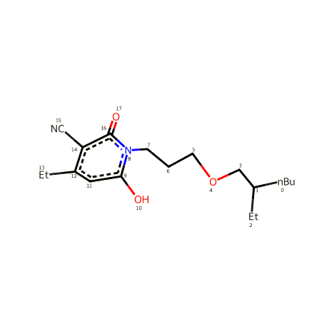 CCCCC(CC)COCCCn1c(O)cc(CC)c(C#N)c1=O